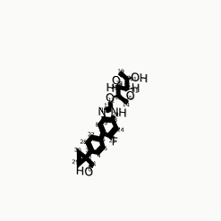 OCC1(c2ccc(-c3cc4nc(O[C@@H]5CO[C@H]6[C@@H]5OC[C@H]6O)[nH]c4cc3F)cc2)CC1